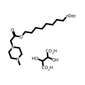 CCCCCCCCCCCCCCCCCCOC(=O)CN1CCN(C)CC1.O=C(O)C(O)C(O)C(=O)O